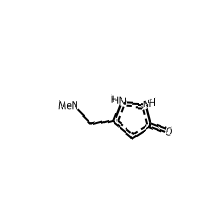 CNCc1cc(=O)[nH][nH]1